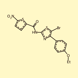 CCOc1ccc(-c2nc(NC(=O)c3ccc([N+](=O)[O-])s3)sc2Br)cc1